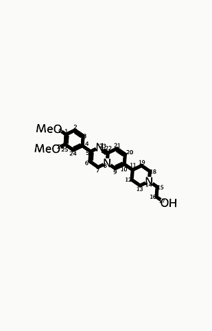 COc1ccc(C2=CCN3C=C(C4CCN(CCO)CC4)C=CC3=N2)cc1OC